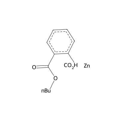 CCCCOC(=O)c1ccccc1C(=O)O.[Zn]